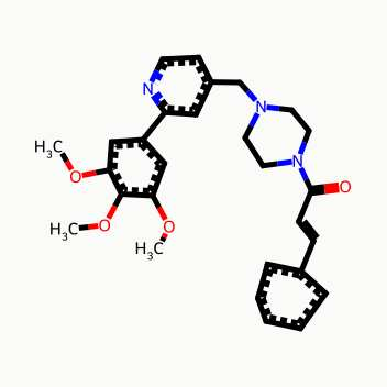 COc1cc(-c2cc(CN3CCN(C(=O)/C=C/c4ccccc4)CC3)ccn2)cc(OC)c1OC